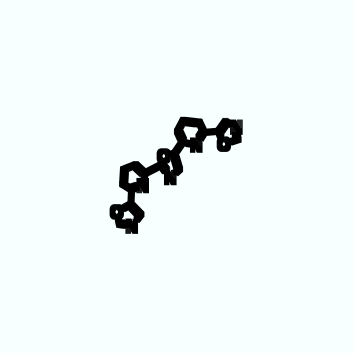 c1cc(-c2cnco2)nc(-c2cnc(-c3cccc(-c4cnco4)n3)o2)c1